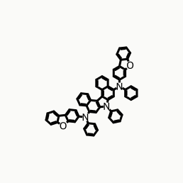 c1ccc(N(c2ccc3c(c2)oc2ccccc23)c2cc3c(c4ccccc24)c2c4ccccc4c(N(c4ccccc4)c4ccc5c(c4)oc4ccccc45)cc2n3-c2ccccc2)cc1